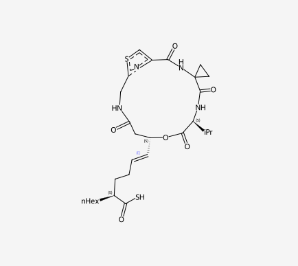 CCCCCC[C@@H](CC/C=C/[C@@H]1CC(=O)NCc2nc(cs2)C(=O)NC2(CC2)C(=O)N[C@@H](C(C)C)C(=O)O1)C(=O)S